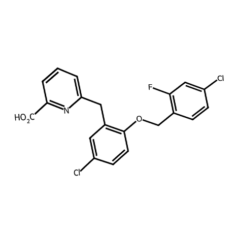 O=C(O)c1cccc(Cc2cc(Cl)ccc2OCc2ccc(Cl)cc2F)n1